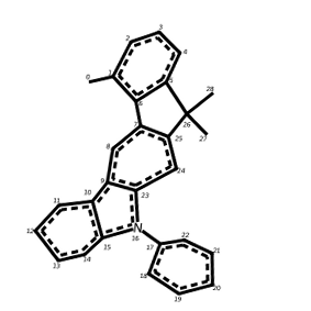 Cc1cccc2c1-c1cc3c4ccccc4n(-c4ccccc4)c3cc1C2(C)C